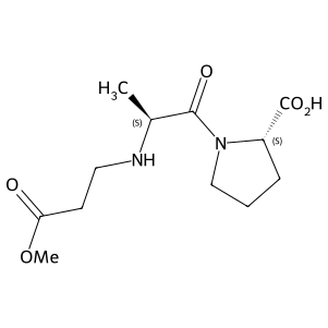 COC(=O)CCN[C@@H](C)C(=O)N1CCC[C@H]1C(=O)O